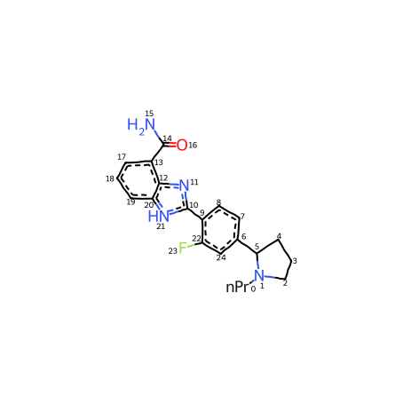 CCCN1CCCC1c1ccc(-c2nc3c(C(N)=O)cccc3[nH]2)c(F)c1